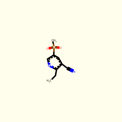 CCc1ncc(S(C)(=O)=O)cc1C#N